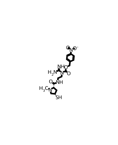 CN1C[C@@H](S)C[C@H]1C(=O)NCCN(C(=N)N)C(=O)OCc1ccc([N+](=O)[O-])cc1